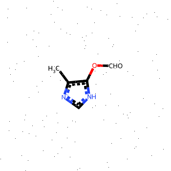 Cc1nc[nH]c1OC=O